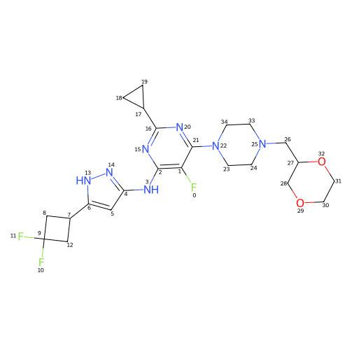 Fc1c(Nc2cc(C3CC(F)(F)C3)[nH]n2)nc(C2CC2)nc1N1CCN(CC2COCCO2)CC1